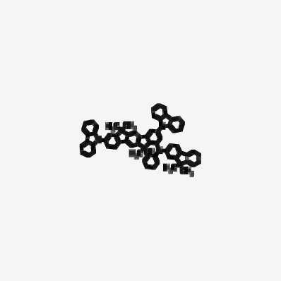 CC1(C)c2ccccc2-c2ccc(N(c3ccccc3)c3cc(-n4c5ccccc5c5ccccc54)cc4c3C(C)(C)c3cc5c(cc3-4)C(C)(C)c3cc(-n4c6ccccc6c6ccccc64)ccc3-5)cc21